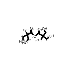 CCCC(CO)(CO)C(=O)OC(=O)C(CC)(CO)CO